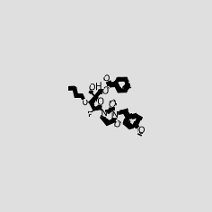 CCCCO[C@H]1[C@@H](F)[C@H](n2ccc(=O)n(Cc3ccc(OC)cc3)c2=O)O[C@@]1(CO)COC(=O)c1ccccc1